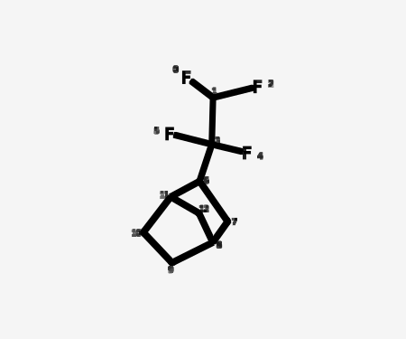 FC(F)C(F)(F)C1CC2CCC1C2